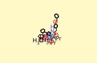 CC(C)C[C@H](NC(=O)C(NC(=O)C(Cc1ccc(OCc2ccccc2)cc1)Nc1cccc(-c2ccccc2)c1)C(C)C)B1O[C@]2(C)CC3CC(C)(C3)[C@]2(C)O1